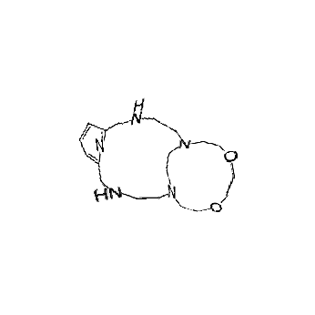 c1cc2nc(c1)CNCCN1CCOCCOCCN(CCNC2)CC1